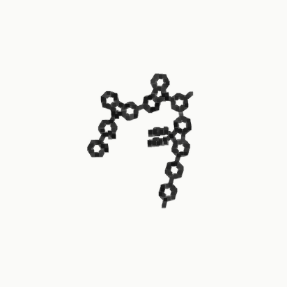 CCCCCCCCC1(CCCCCCCC)c2cc(-c3ccc(-c4ccc(C)cc4)cc3)ccc2-c2ccc(-c3cc(C)cc(-n4c5ccccc5c5cc(-c6ccc7c(c6)c6ccccc6n7-c6ccc(-c7ccccn7)nc6)ccc54)c3)cc21